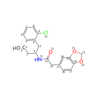 O=C(O)CC(Cc1ccccc1Cl)NC(=O)Cc1ccc2c(c1)OCO2